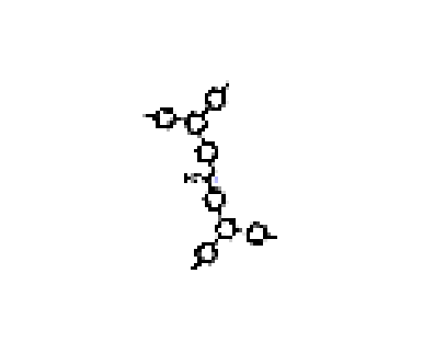 Cc1ccc(-c2cc(-c3ccc(C)cc3)cc(-c3ccc(/C=C(\C#N)c4ccc(-c5cc(-c6ccc(C)cc6)cc(-c6ccc(C)cc6)c5)cc4)cc3)c2)cc1